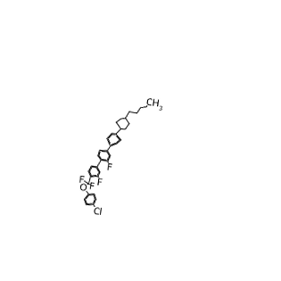 CCCCCC1CCC(c2ccc(-c3ccc(-c4ccc(C(F)(F)Oc5ccc(Cl)cc5)c(F)c4)c(F)c3)cc2)CC1